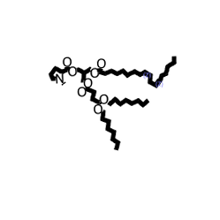 CCCCC/C=C\C/C=C\CCCCCCCC(=O)OCC(COC(=O)CCC(OCCCCCCCC)OCCCCCCCC)COC(=O)C1CCCN1C